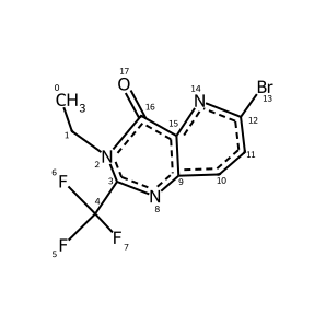 CCn1c(C(F)(F)F)nc2ccc(Br)nc2c1=O